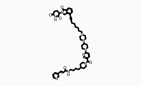 O=C(/C=C/c1cccnc1)NCCCCC1CCN(C(=O)c2ccc(N3CCC(N4CCN(CCCCCCC#Cc5cccc6c5CN(C5CCC(=O)NC5=O)C6=O)CC4)CC3)nn2)CC1